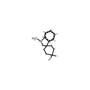 CN1CC2(CCC(F)(F)CC2)c2ccccc21